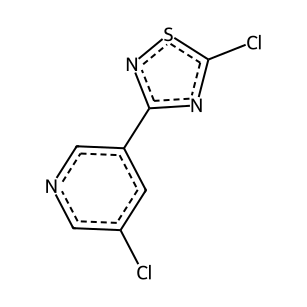 Clc1cncc(-c2nsc(Cl)n2)c1